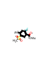 COC(=O)c1cc(S(C)(=O)=O)c(C(C)C)cc1F